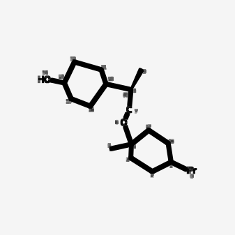 CC(C)C1CCC(C)(OC[C@H](C)C2CCC(O)CC2)CC1